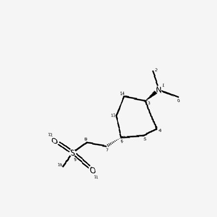 CN(C)[C@H]1CC[C@H](CCS(C)(=O)=O)CC1